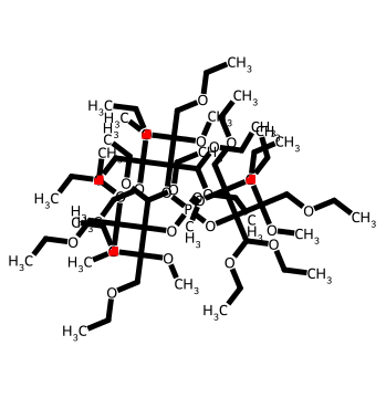 CCOCC(OC)(OCC)C(OP(=O)(OC(C(OCC)OCC)(C(COCC)(OC)OCC)C(COCC)(OC)OCC)OC(C(OCC)OCC)(C(COCC)(OC)OCC)C(COCC)(OC)OCC)(C(OCC)OCC)C(COCC)(OC)OCC